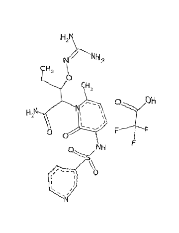 CCC(ON=C(N)N)C(C(N)=O)n1c(C)ccc(NS(=O)(=O)c2cccnc2)c1=O.O=C(O)C(F)(F)F